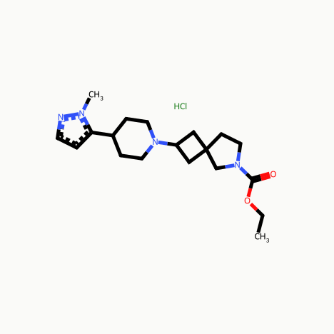 CCOC(=O)N1CCC2(CC(N3CCC(c4ccnn4C)CC3)C2)C1.Cl